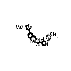 COc1cncc(-c2ccc3nnc(NC(=O)c4ccnc(N5CCN(C)CC5)c4)cc3c2)c1